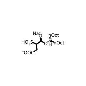 CCCCCCCC[SiH](CCCCCCCC)OC(=O)C(CC(=O)[O-])S(=O)(=O)O.[Na+]